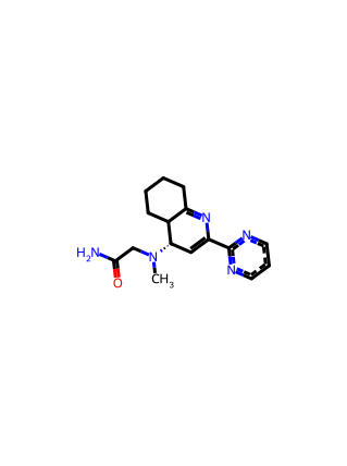 CN(CC(N)=O)[C@H]1C=C(c2ncccn2)N=C2CCCCC21